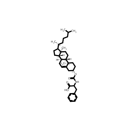 CC(C)CCC[C@@H](C)C1CC[C@H]2[C@@H]3CC=C4C[C@@H](OC(=O)NC(Cc5ccccc5)C(=O)O)CC[C@]4(C)[C@H]3CC[C@]12C